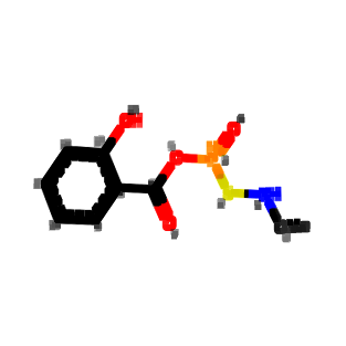 CONS[PH](=O)OC(=O)c1ccccc1O